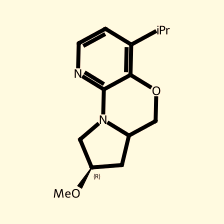 CO[C@@H]1CC2COc3c(C(C)C)ccnc3N2C1